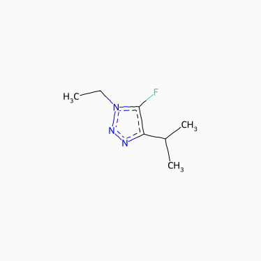 CCn1nnc(C(C)C)c1F